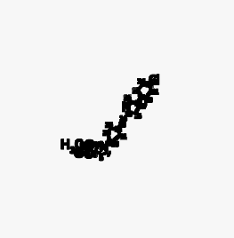 CS(=O)(=O)OC1CCN(c2ccc(C#Cc3ccc(-c4ccc(Cl)cc4)cn3)cc2)C1